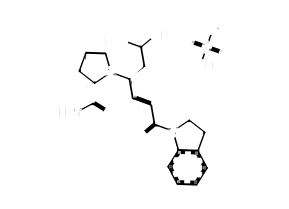 CC(C)C[C@@H](/C=C/C(=O)N1CCc2ccccc21)N1C[C@@H](F)C[C@H]1C(N)=O.O=S(=O)(O)O